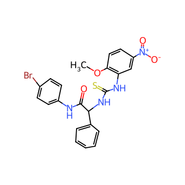 COc1ccc([N+](=O)[O-])cc1NC(=S)NC(C(=O)Nc1ccc(Br)cc1)c1ccccc1